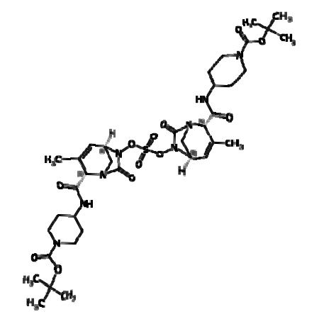 CC1=C[C@@H]2CN(C(=O)N2OS(=O)(=O)ON2C(=O)N3C[C@H]2C=C(C)[C@H]3C(=O)NC2CCN(C(=O)OC(C)(C)C)CC2)[C@@H]1C(=O)NC1CCN(C(=O)OC(C)(C)C)CC1